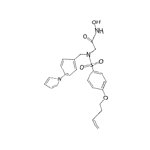 C=CCCOc1ccc(S(=O)(=O)N(CC(=O)NO)Cc2ccc(-n3cccc3)cc2)cc1